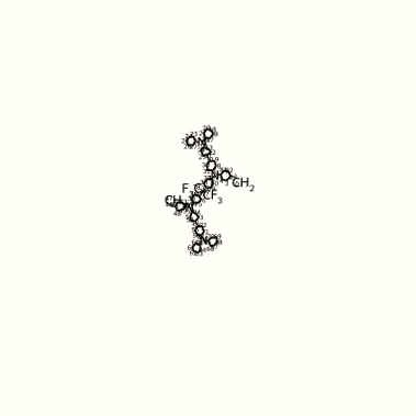 C=Cc1ccc(N(c2ccc(-c3ccc(N(c4ccccc4)c4ccccc4)cc3)cc2)c2ccc(C(c3ccc(N(c4ccc(C=C)cc4)c4ccc(-c5ccc(N(c6ccccc6)c6ccccc6)cc5)cc4)cc3)(C(F)(F)F)C(F)(F)F)cc2)cc1